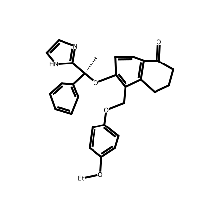 CCOc1ccc(OCc2c(O[C@@](C)(c3ccccc3)c3ncc[nH]3)ccc3c2CCCC3=O)cc1